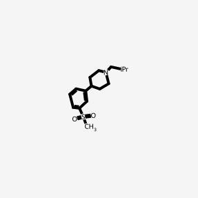 CC(C)CN1CCC(c2cccc(S(C)(=O)=O)c2)CC1